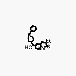 CCc1cc2cc(C(O)C3CCN(Cc4ccccc4)CC3)ccc2[nH]c1=O